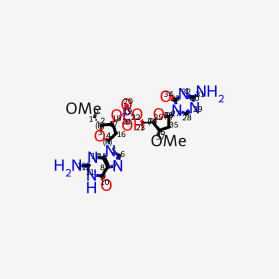 COC[C@H]1O[C@@H](n2cnc3c(=O)[nH]c(N)nc32)CC1OP(=O)(O)OC[C@H]1O[C@@H](n2cnc(N)nc2=O)CC1OC